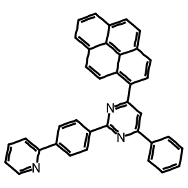 c1ccc(-c2cc(-c3ccc4ccc5cccc6ccc3c4c56)nc(-c3ccc(-c4ccccn4)cc3)n2)cc1